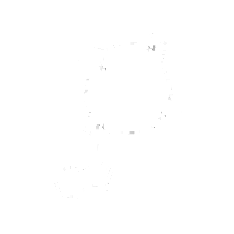 C1=Cc2cc3cc(-c4csc5ccccc45)c(cc4nc(cc5ccc(cc1n2)[nH]5)C=C4)[nH]3